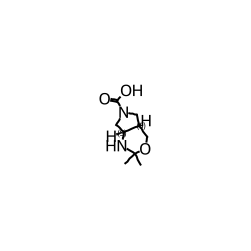 CC1(C)N[C@@H]2CN(C(=O)O)C[C@@H]2CO1